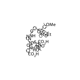 CCC(C)(C)C(=O)C(=O)N1CCCC[C@H]1C(=O)O[C@H](CCc1ccc(OC)c(C)c1)c1cccc(OCCNc2nccc(CN3C[C@@H](SC4=C(C(=O)O)N5C(=O)[C@H]([C@@H](C)O)[C@H]5[C@H]4C)C[C@H]3C(=O)Nc3cccc(C(=O)O)c3)n2)c1